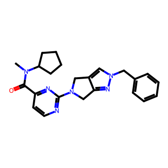 CN(C(=O)c1ccnc(N2Cc3cn(Cc4ccccc4)nc3C2)n1)C1CCCC1